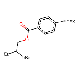 CCCCCCc1ccc(C(=O)OCC(CC)CCCC)cc1